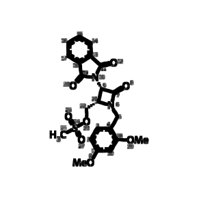 COc1ccc(CN2C(=O)[C@@H](N3C(=O)c4ccccc4C3=O)[C@H]2COS(C)(=O)=O)c(OC)c1